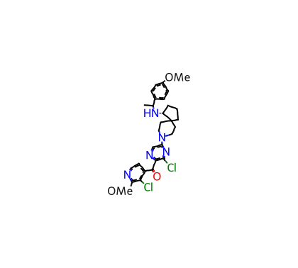 COc1ccc(C(C)N[C@@H]2CCCC23CCN(c2cnc(C(=O)c4ccnc(OC)c4Cl)c(Cl)n2)CC3)cc1